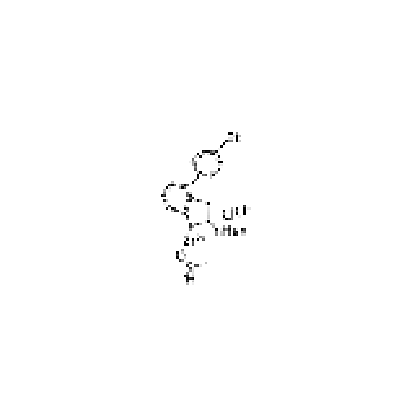 CCCCCCC1=Cc2c(-c3ccc(CC)cc3)cccc2[CH]1[Zr+2][O][SiH](C)C.[Cl-].[Cl-]